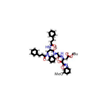 COc1cccc2nc(C(=O)[C@H](CC(=O)OC(C)(C)C)NC(=O)CN3C(=O)[C@@H](NC(=O)CCc4ccccc4)CN(C(=O)CCc4ccccc4)c4ccccc43)oc12